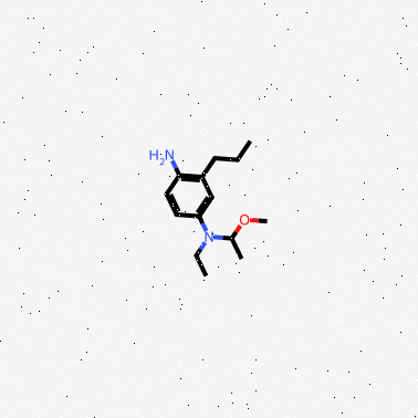 CCCc1cc(N(CC)C(C)OC)ccc1N